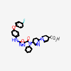 O=C(O)C1CCN(c2ccc(N(C(=O)c3nnc(Nc4ccc(Oc5ccc(F)cc5)cc4)o3)c3ccccc3)cn2)CC1